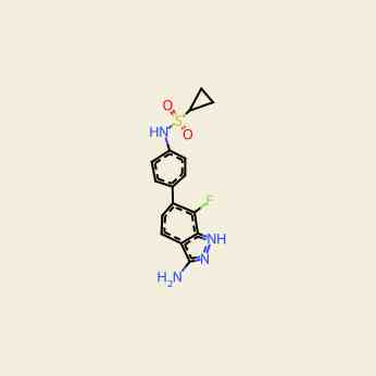 Nc1n[nH]c2c(F)c(-c3ccc(NS(=O)(=O)C4CC4)cc3)ccc12